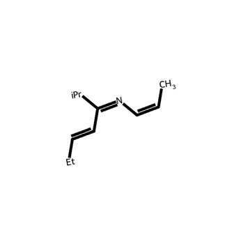 C\C=C/N=C(\C=C\CC)C(C)C